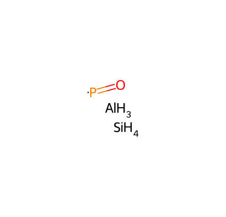 O=[P].[AlH3].[SiH4]